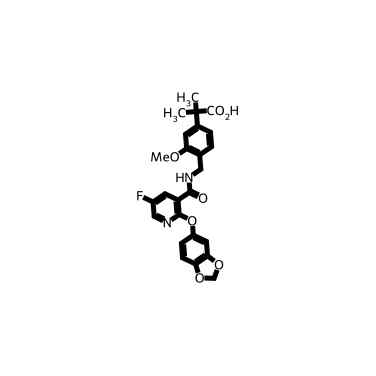 COc1cc(C(C)(C)C(=O)O)ccc1CNC(=O)c1cc(F)cnc1Oc1ccc2c(c1)OCO2